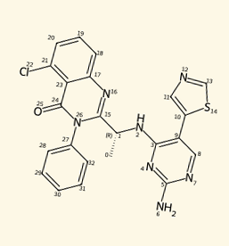 C[C@@H](Nc1nc(N)ncc1-c1cncs1)c1nc2cccc(Cl)c2c(=O)n1-c1ccccc1